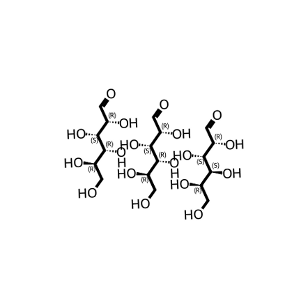 O=C[C@H](O)[C@@H](O)[C@@H](O)[C@H](O)CO.O=C[C@H](O)[C@@H](O)[C@H](O)[C@H](O)CO.O=C[C@H](O)[C@@H](O)[C@H](O)[C@H](O)CO